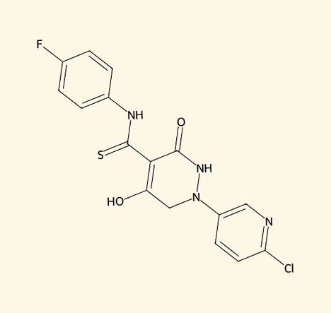 O=C1NN(c2ccc(Cl)nc2)CC(O)=C1C(=S)Nc1ccc(F)cc1